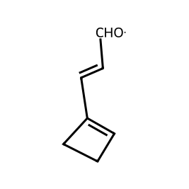 O=[C]C=CC1=CCC1